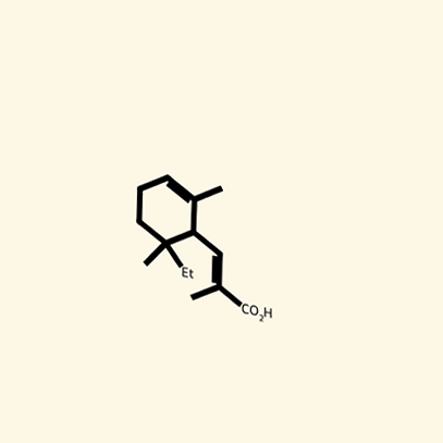 CCC1(C)CCC=C(C)C1C=C(C)C(=O)O